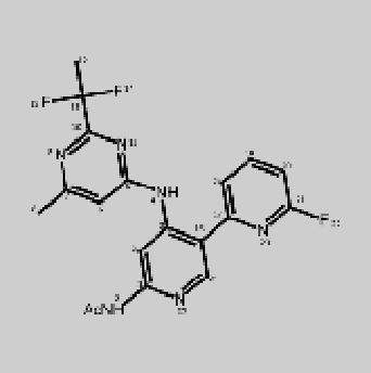 CC(=O)Nc1cc(Nc2cc(C)nc(C(C)(F)F)n2)c(-c2cccc(F)n2)cn1